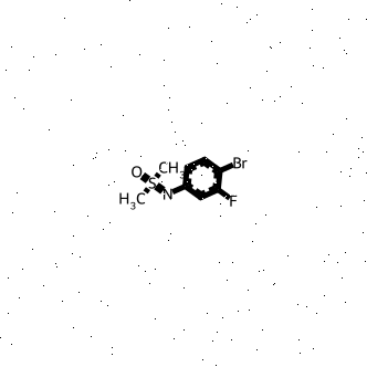 CS(C)(=O)=Nc1ccc(Br)c(F)c1